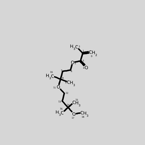 C=C(C)C(=O)OCCC(C)(C)OCCC(C)(C)OC